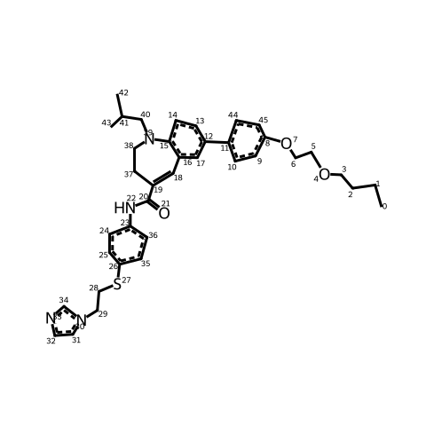 CCCCOCCOc1ccc(-c2ccc3c(c2)C=C(C(=O)Nc2ccc(SCCn4ccnc4)cc2)CCN3CC(C)C)cc1